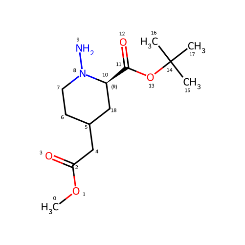 COC(=O)CC1CCN(N)[C@@H](C(=O)OC(C)(C)C)C1